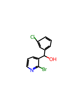 OC(c1cccc(Cl)c1)c1cccnc1Br